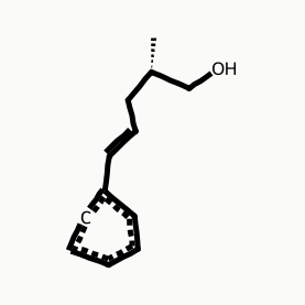 C[C@H](CO)CC=Cc1ccccc1